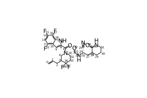 C=CCC1CN(C(=O)c2cc3c(F)cc(F)c(F)c3[nH]2)[C@H](C(=O)N[C@H](C#N)C[C@@H]2CCCNC2=O)CC1(F)F